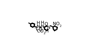 Cc1ccc([C@H](CC(=O)O)NC(=O)Nc2cccn(Cc3ccccc3[N+](=O)[O-])c2=O)cc1